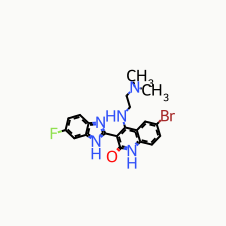 CN(C)CCNc1c(-c2nc3ccc(F)cc3[nH]2)c(=O)[nH]c2ccc(Br)cc12